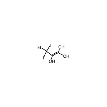 CCC(I)(I)C(O)=C(O)O